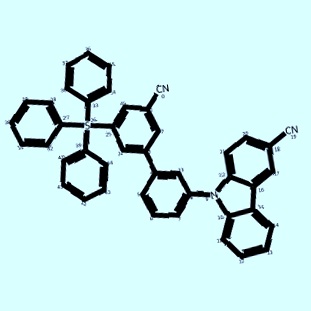 N#Cc1cc(-c2cccc(-n3c4ccccc4c4cc(C#N)ccc43)c2)cc(S(c2ccccc2)(c2ccccc2)c2ccccc2)c1